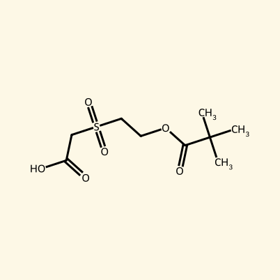 CC(C)(C)C(=O)OCCS(=O)(=O)CC(=O)O